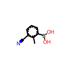 Cc1c(C#N)cccc1B(O)O